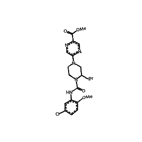 COC(=O)c1cnc(N2CCN(C(=O)Nc3cc(Cl)ccc3OC)C(C(C)C)C2)cn1